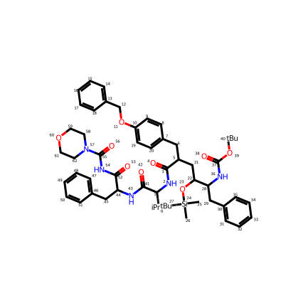 CC(C)C(NC(=O)C(Cc1ccc(OCc2ccccc2)cc1)CC(O[Si](C)(C)C(C)(C)C)C(Cc1ccccc1)NC(=O)OC(C)(C)C)C(=O)NC(Cc1ccccc1)C(=O)NC(=O)N1CCOCC1